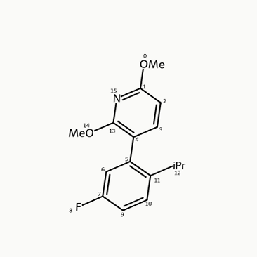 COc1ccc(-c2cc(F)ccc2C(C)C)c(OC)n1